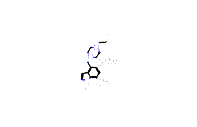 COc1cc(C)c2[nH]ccc2c1CN1CCN(CCF)CC1